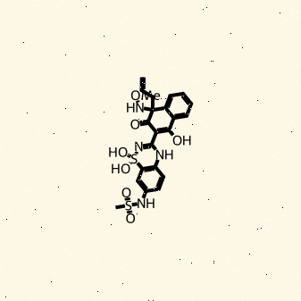 C=CCC1(NOC)C(=O)C(C2=NS(O)(O)c3cc(NS(C)(=O)=O)ccc3N2)=C(O)c2ccccc21